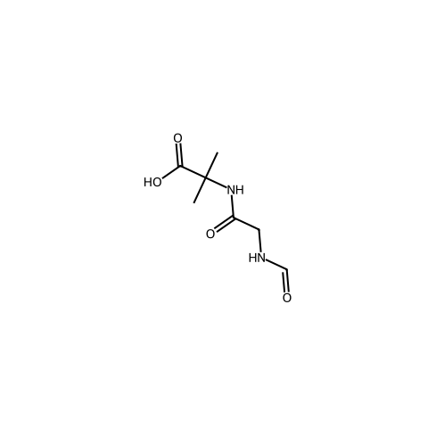 CC(C)(NC(=O)CNC=O)C(=O)O